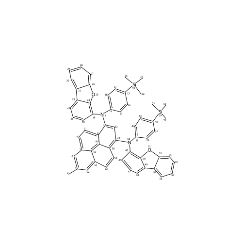 Cc1cc2ccc3c(N(c4ccc([Si](C)(C)C)cc4)c4cccc5c4oc4ccccc45)cc(N(c4ccc([Si](C)(C)C)cc4)c4cccc5c4oc4ccccc45)c4ccc(c1)c2c34